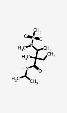 CCC(C)(C(=O)NC(C)C)C(C)N(C)S(C)(=O)=O